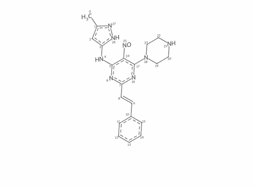 Cc1cc(Nc2nc(/C=C/c3ccccc3)nc(N3CCNCC3)c2N=O)[nH]n1